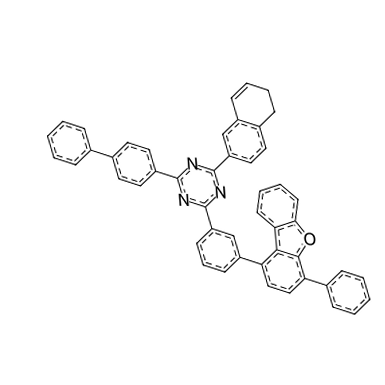 C1=Cc2cc(-c3nc(-c4ccc(-c5ccccc5)cc4)nc(-c4cccc(-c5ccc(-c6ccccc6)c6oc7ccccc7c56)c4)n3)ccc2CC1